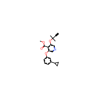 C#CC(C)(C)Oc1cncc(Oc2cccc(C3CC3)c2)c1C(=O)OC